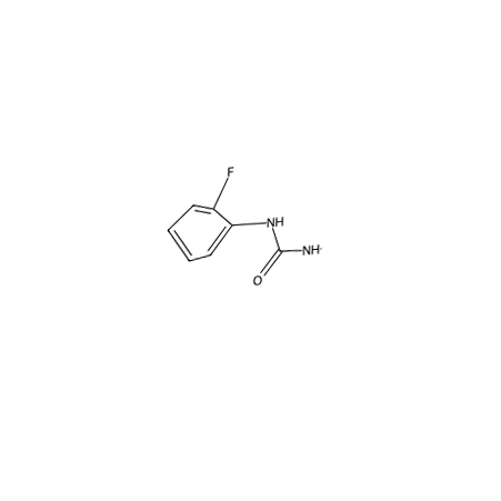 [NH]C(=O)Nc1ccccc1F